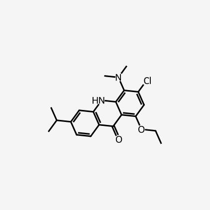 CCOc1cc(Cl)c(N(C)C)c2[nH]c3cc(C(C)C)ccc3c(=O)c12